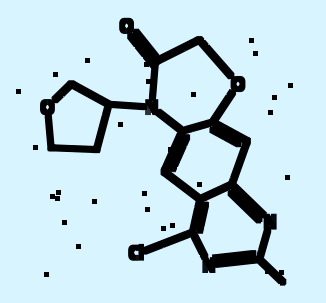 Cc1nc(Cl)c2cc3c(cc2n1)OCC(=O)N3C1CCOC1